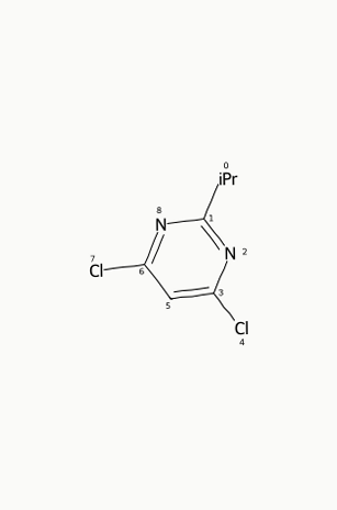 CC(C)c1nc(Cl)cc(Cl)n1